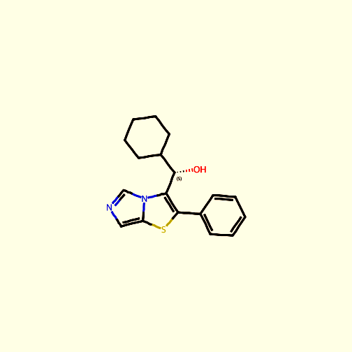 O[C@H](c1c(-c2ccccc2)sc2cncn12)C1CCCCC1